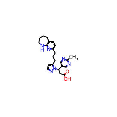 Cc1ncc(C(CC(=O)O)n2nccc2CCCc2ccc3c(n2)NCCCC3)cn1